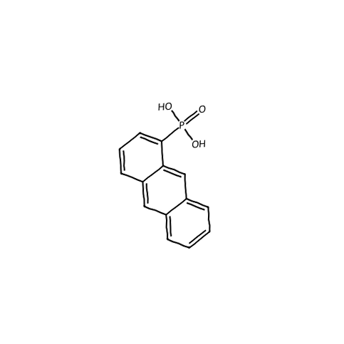 O=P(O)(O)c1cccc2cc3ccccc3cc12